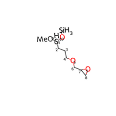 CO[SiH](CCCOCC1CO1)O[SiH3]